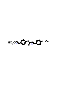 COc1ccc(/C=C/C(=O)Oc2ccc(/C=C/C(=O)O)cc2)cc1